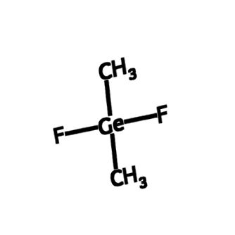 [CH3][Ge]([CH3])([F])[F]